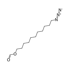 [N-]=[N+]=NCCCCCCCCCCCOC=O